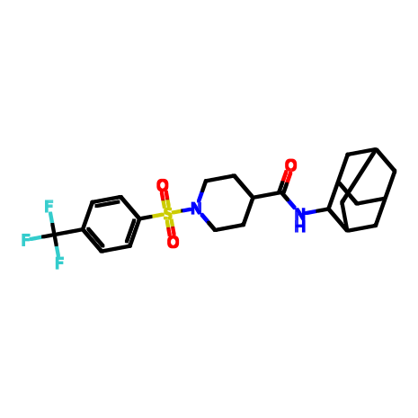 O=C(NC1C2CC3CC(C2)CC1C3)C1CCN(S(=O)(=O)c2ccc(C(F)(F)F)cc2)CC1